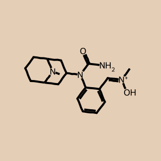 CN1C2CCCC1CC(N(C(N)=O)c1ccccc1C=[N+](C)O)C2